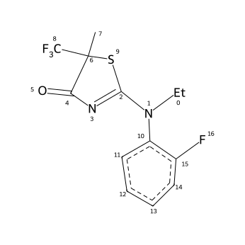 CCN(C1=NC(=O)C(C)(C(F)(F)F)S1)c1ccccc1F